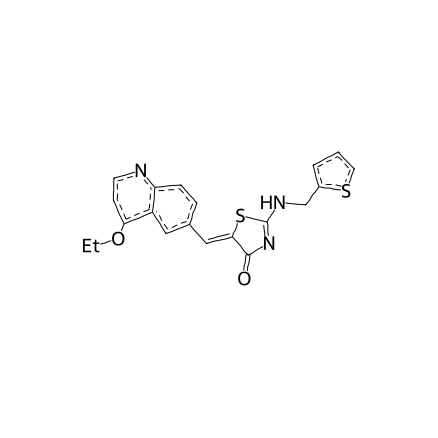 CCOc1ccnc2ccc(/C=C3\SC(NCc4cccs4)=NC3=O)cc12